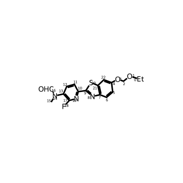 CCOCOc1ccc2nc(-c3ccc(N(C)C=O)c(F)n3)sc2c1